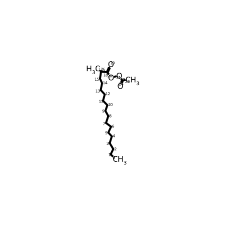 CCCCCCCCCCCCCCCCC(C)C(=O)OOC(C)=O